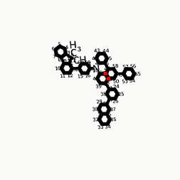 CC1(C)c2ccccc2-c2cccc(-c3ccc(N(c4ccc(-c5cccc(-c6ccc7ccccc7c6)c5)cc4)c4ccccc4-c4cccc(-c5ccccc5)c4)cc3)c21